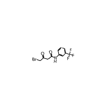 O=C(CBr)CC(=O)Nc1cccc(C(F)(F)F)c1